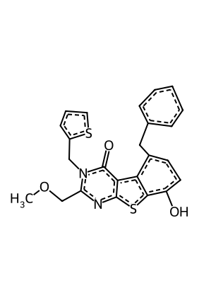 COCc1nc2sc3c(O)ccc(Cc4ccccc4)c3c2c(=O)n1Cc1cccs1